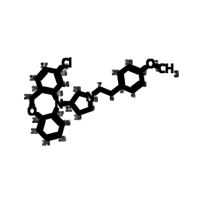 COc1ccc(CCN2CCC(N3c4cc(Cl)ccc4COc4ccccc43)C2)cc1